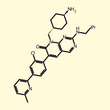 Cc1cccc(-c2ccc(-c3cc4cnc(NCC(C)C)nc4n(C[C@H]4CC[C@H](N)CC4)c3=O)c(Cl)c2)n1